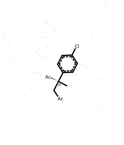 CC(=O)C[C@@](C)(C(C)=O)c1ccc(Cl)cc1